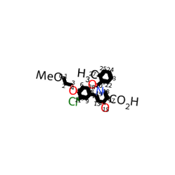 COCCCOc1cc2c(cc1Cl)-c1cc(=O)c(C(=O)O)cn1C(c1ccccc1C)O2